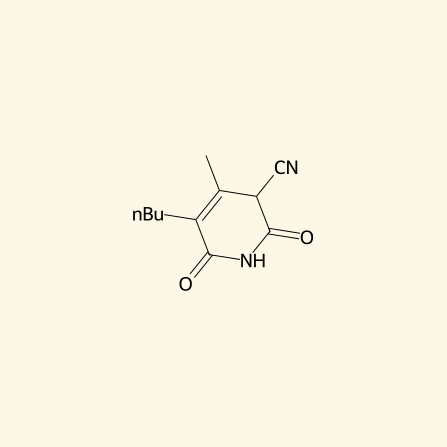 CCCCC1=C(C)C(C#N)C(=O)NC1=O